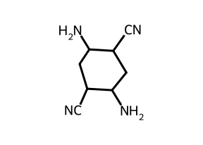 N#CC1CC(N)C(C#N)CC1N